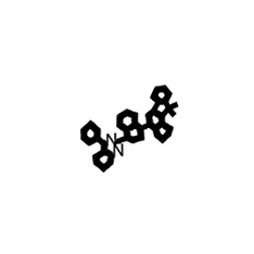 CC1(C)c2ccccc2-c2cc(-c3ccc(-c4nc(-c5ccccc5)c5ccccc5n4)c4ccccc34)c3ccccc3c21